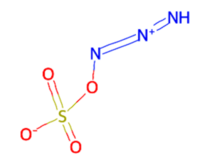 N=[N+]=NOS(=O)(=O)[O-]